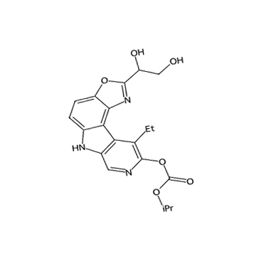 CCc1c(OC(=O)OC(C)C)ncc2[nH]c3ccc4oc(C(O)CO)nc4c3c12